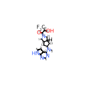 CN(c1ncnc2[nH]ccc12)C1CC2CN(C(=O)[C@H](O)C(F)(F)F)C[C@@H]2C1